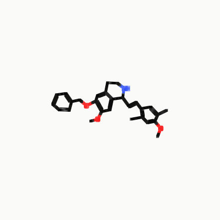 COc1cc(C)c(C=CC2NCCc3cc(OCc4ccccc4)c(OC)cc32)cc1C